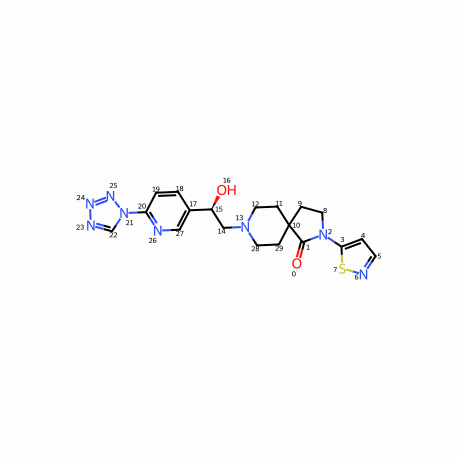 O=C1N(c2ccns2)CCC12CCN(C[C@H](O)c1ccc(-n3cnnn3)nc1)CC2